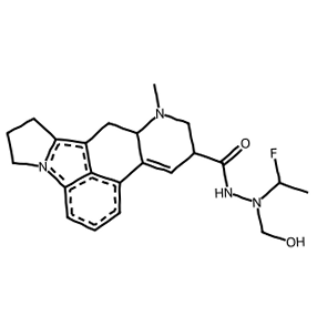 CC(F)N(CO)NC(=O)C1C=C2c3cccc4c3c(c3n4CCC3)CC2N(C)C1